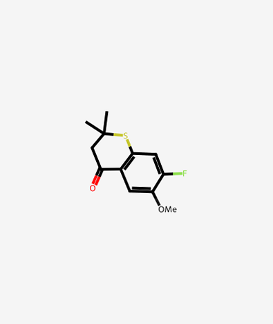 COc1cc2c(cc1F)SC(C)(C)CC2=O